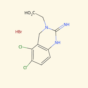 Br.N=C1Nc2ccc(Cl)c(Cl)c2CN1CC(=O)O